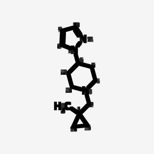 CC1(CN2CCC(n3cccn3)CC2)CC1